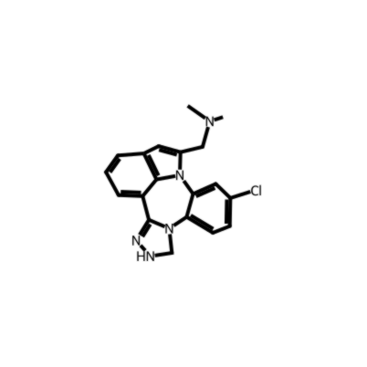 CN(C)Cc1cc2cccc3c4n(c5ccc(Cl)cc5n1c23)CNN=4